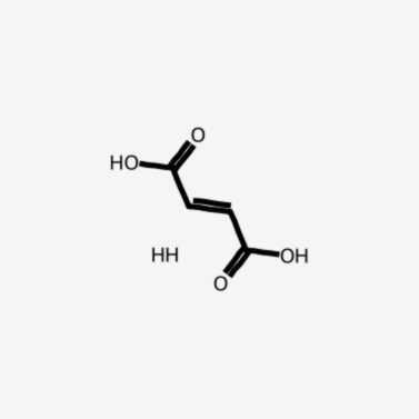 O=C(O)C=CC(=O)O.[HH]